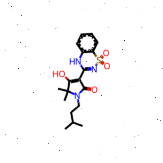 CC(C)CCN1C(=O)C(C2=NS(=O)(=O)c3ccccc3N2)=C(O)C1(C)C